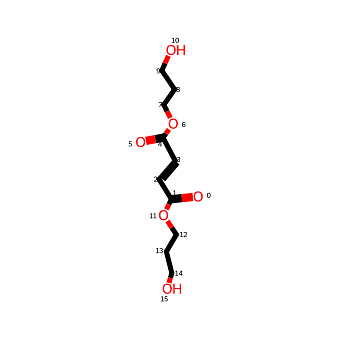 O=C(/C=C/C(=O)OCCCO)OCCCO